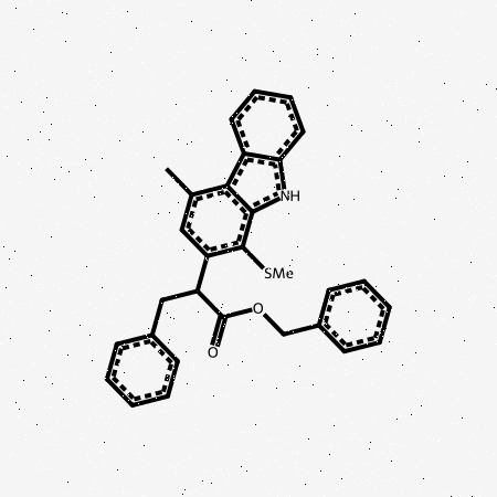 CSc1c(C(Cc2ccccc2)C(=O)OCc2ccccc2)cc(C)c2c1[nH]c1ccccc12